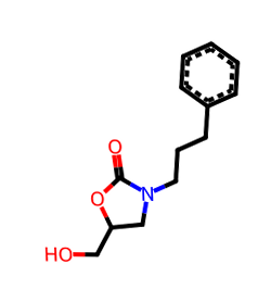 O=C1OC(CO)CN1CCCc1ccccc1